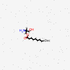 CCCCCCCCCCCCCCCCCC(=O)OCC(C)(N)CO